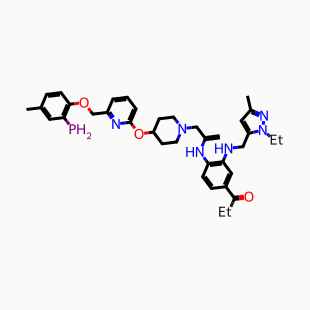 C=C(CN1CCC(Oc2cccc(COc3ccc(C)cc3P)n2)CC1)Nc1ccc(C(=O)CC)cc1NCc1cc(C)nn1CC